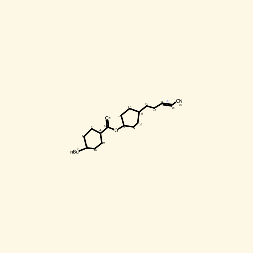 CCCCC1CCC(C(=O)OC2CCC(CC/C=C/C#N)CC2)CC1